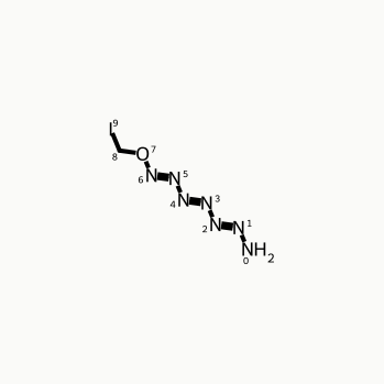 NN=NN=NN=NOCI